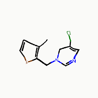 Cc1ccsc1CN1C=NC=C(Cl)C1